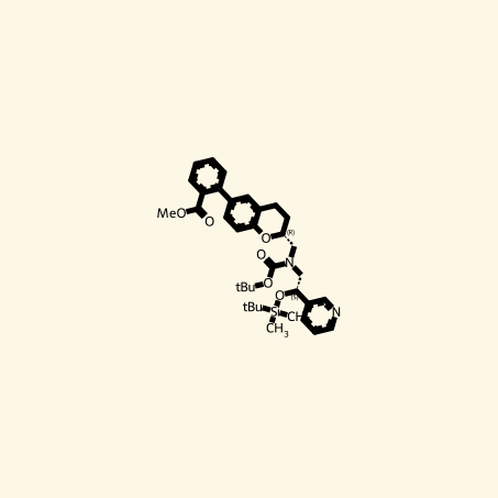 COC(=O)c1ccccc1-c1ccc2c(c1)CC[C@H](CN(C[C@@H](O[Si](C)(C)C(C)(C)C)c1cccnc1)C(=O)OC(C)(C)C)O2